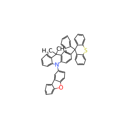 CC1(C)c2ccccc2N(c2ccc3oc4ccccc4c3c2)c2ccc(C3(c4ccccc4)c4ccccc4Sc4ccccc43)cc21